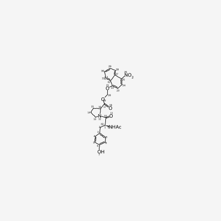 CC(=O)N[C@@H](Cc1ccc(O)cc1)C(=O)N1CCCC1C(=O)OCOc1ccc([N+](=O)[O-])c2cccnc12